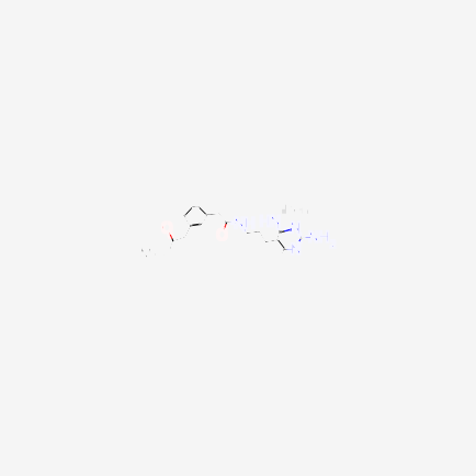 CCCCCNc1nc(N)nc(C)c1CCCNC(=O)Cc1cccc(CC(=O)OC)c1